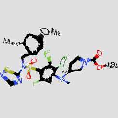 COc1ccc(CN(c2ncns2)S(=O)(=O)c2c(F)cc(N(C)[C@H]3CCN(C(=O)OC(C)(C)C)C3)c(Cl)c2F)c(OC)c1